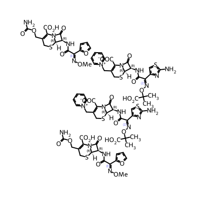 CC(C)(O/N=C(\C(=O)N[C@@H]1C(=O)N2C(C(=O)[O-])=C(C[n+]3ccccc3)CS[C@H]12)c1csc(N)n1)C(=O)O.CC(C)(O/N=C(\C(=O)N[C@@H]1C(=O)N2C(C(=O)[O-])=C(C[n+]3ccccc3)CS[C@H]12)c1csc(N)n1)C(=O)O.CO/N=C(/C(=O)N[C@@H]1C(=O)N2C(C(=O)O)=C(COC(N)=O)CS[C@H]12)c1ccco1.CO/N=C(/C(=O)N[C@@H]1C(=O)N2C(C(=O)O)=C(COC(N)=O)CS[C@H]12)c1ccco1